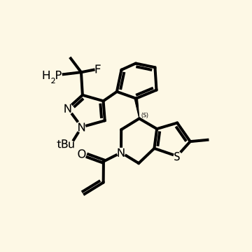 C=CC(=O)N1Cc2sc(C)cc2[C@H](c2ccccc2-c2cn(C(C)(C)C)nc2C(C)(F)P)C1